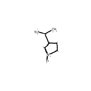 CCN1CCC(C(C)N)C1